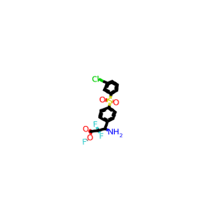 NC(c1ccc(S(=O)(=O)c2cccc(Cl)c2)cc1)C(F)(F)C(=O)OF